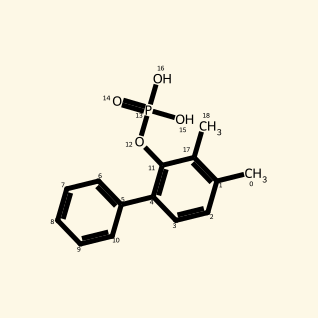 Cc1ccc(-c2ccccc2)c(OP(=O)(O)O)c1C